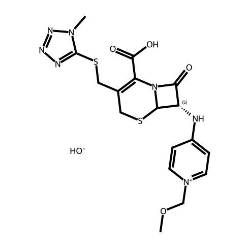 COC[n+]1ccc(N[C@H]2C(=O)N3C(C(=O)O)=C(CSc4nnnn4C)CSC23)cc1.[OH-]